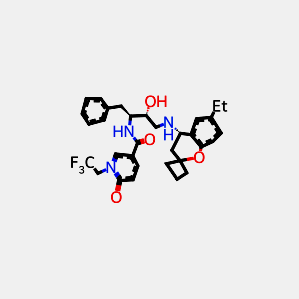 CCc1ccc2c(c1)[C@@H](NC[C@@H](O)[C@H](Cc1ccccc1)NC(=O)c1ccc(=O)n(CC(F)(F)F)c1)CC1(CCC1)O2